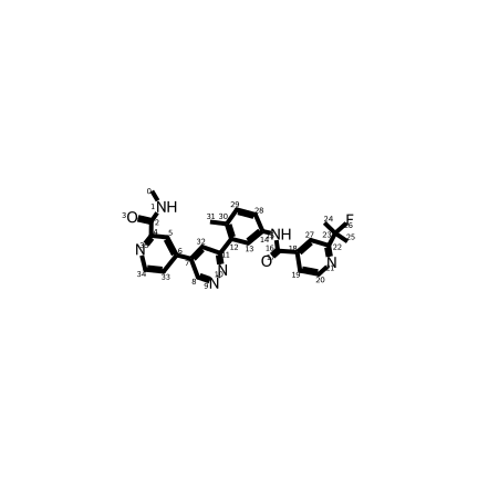 CNC(=O)c1cc(-c2cnnc(-c3cc(NC(=O)c4ccnc(C(C)(C)F)c4)ccc3C)c2)ccn1